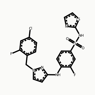 O=S(=O)(Nc1nccs1)c1ccc(Nc2ccn(Cc3ccc(Cl)cc3F)n2)c(F)c1